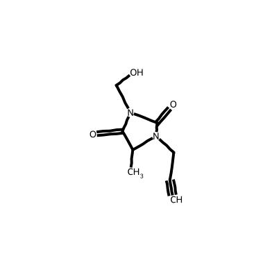 C#CCN1C(=O)N(CO)C(=O)C1C